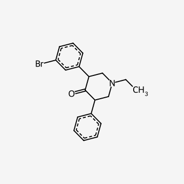 CCN1CC(c2ccccc2)C(=O)C(c2cccc(Br)c2)C1